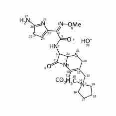 CO/N=C(\C(=O)NC1C(=O)N2C(C(=O)O)=C(C[N+]3(C)CCCC3)CSC12)c1csc(N)n1.[OH-]